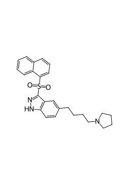 O=S(=O)(c1cccc2ccccc12)c1n[nH]c2ccc(CCCCN3CCCC3)cc12